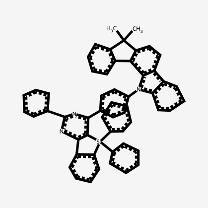 CC1(C)c2ccccc2-c2c1ccc1c3ccccc3n(-c3ccc(-c4nc(-c5ccccc5)nc5c4[Si](c4ccccc4)(c4ccccc4)c4ccccc4-5)cc3)c21